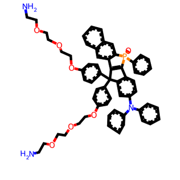 NCCOCCOCCOc1ccc(C2(c3ccc(OCCOCCOCCN)cc3)C3=C(c4ccc(N(c5ccccc5)c5ccccc5)cc42)P(=O)(c2ccccc2)c2cc4ccccc4cc23)cc1